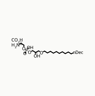 CCCCCCCCCCCCCCCCCCCCOC[C@@H](O)COP(=O)(O)OC[C@H](N)C(=O)O